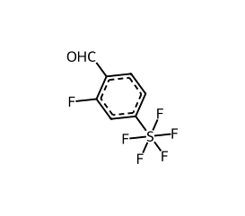 O=Cc1ccc(S(F)(F)(F)(F)F)cc1F